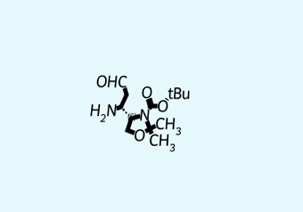 CC(C)(C)OC(=O)N1[C@@H](C(N)CC=O)COC1(C)C